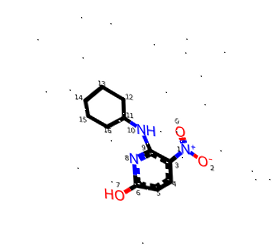 O=[N+]([O-])c1ccc(O)nc1NC1CCCCC1